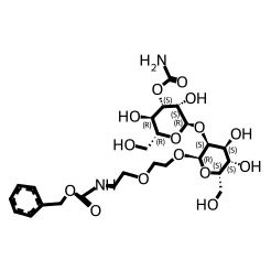 NC(=O)O[C@@H]1[C@H](O)[C@@H](O[C@@H]2[C@H](OCCOCCNC(=O)OCc3ccccc3)O[C@@H](CO)[C@@H](O)[C@@H]2O)O[C@H](CO)[C@H]1O